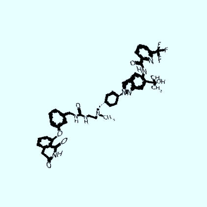 CN(CCNC(=O)NCc1cccc(Oc2cccc3c2C(=O)NC(=O)C3)c1)C[C@H]1CC[C@H](n2cc3cc(NC(=O)c4cccc(C(F)(F)F)n4)c(C(C)(C)O)cc3n2)CC1